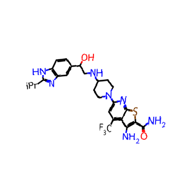 CC(C)c1nc2cc(C(O)CNC3CCN(c4cc(C(F)(F)F)c5c(N)c(C(N)=O)sc5n4)CC3)ccc2[nH]1